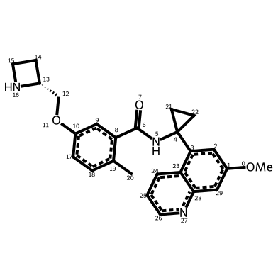 COc1cc(C2(NC(=O)c3cc(OC[C@H]4CCN4)ccc3C)CC2)c2cccnc2c1